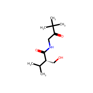 CC(C)[C@@H](CO)C(=O)NCC(=O)C(C)(C)C